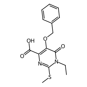 CCn1c(SC)nc(C(=O)O)c(OCc2ccccc2)c1=O